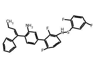 CC/C=C(\c1ccccc1)c1ccc(-c2c(F)ccc(NSc3cc(F)ccc3F)c2F)cc1N